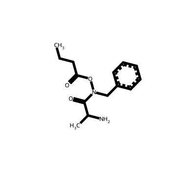 CCCC(=O)ON(Cc1ccccc1)C(=O)C(C)N